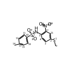 CSc1ccc(NS(=O)(=O)c2ccc(C)cc2)c([N+](=O)[O-])c1